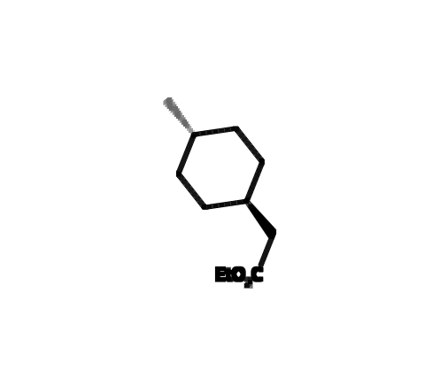 CCOC(=O)C[C@H]1CC[C@H](C)CC1